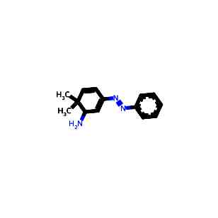 CC1(C)C=CC(N=Nc2ccccc2)=CC1N